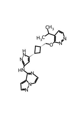 CC(C)c1ccnnc1OC[C@H]1C[C@@H](c2cc(Nc3nccn4nccc34)n[nH]2)C1